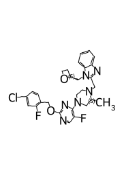 C[C@H]1CN(c2nc(OCc3ccc(Cl)cc3F)ncc2F)CCN1Cc1nc2ccccc2n1C[C@@H]1CCO1